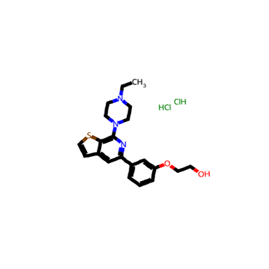 CCN1CCN(c2nc(-c3cccc(OCCO)c3)cc3ccsc23)CC1.Cl.Cl